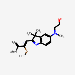 C=C(NC)/C(=C/C1=Nc2ccc(N(C)CCO)cc2C1(C)C)SC=O